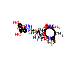 COc1cc2cc(c1Cl)N(C)C(=O)C[C@H](OC(=O)[C@H](C)N(C)C(=O)CCC(C)(C)SSCCNC(=S)Nc1cccc3c1C(=O)OC31c3ccc(O)cc3Oc3cc(O)ccc31)C1(C)O[C@H]1[C@H](C)C1CC(O)(NC(=O)O1)[C@H](OC)/C=C\C=C(\C)C2